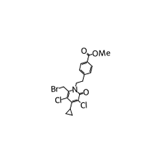 COC(=O)c1ccc(CCn2c(CBr)c(Cl)c(C3CC3)c(Cl)c2=O)cc1